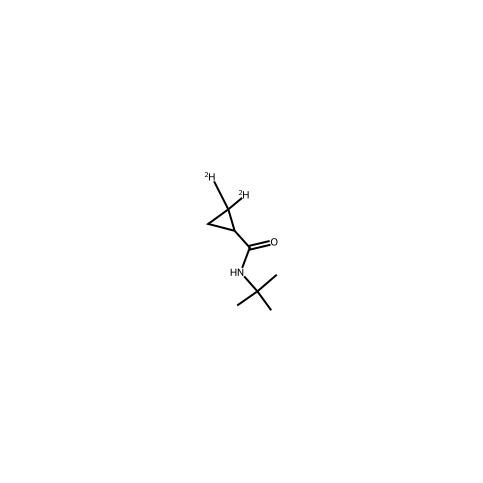 [2H]C1([2H])CC1C(=O)NC(C)(C)C